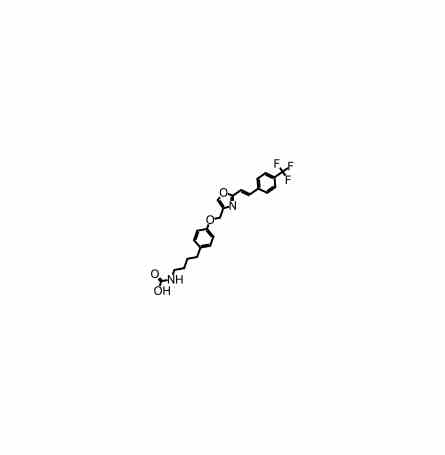 O=C(O)NCCCCc1ccc(OCc2coc(C=Cc3ccc(C(F)(F)F)cc3)n2)cc1